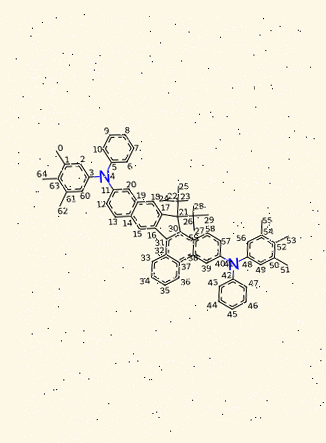 Cc1cc(N(c2ccccc2)c2ccc3cc4c(cc3c2)C(C(C)(C)C)(C(C)(C)C)c2c-4c3ccccc3c3cc(N(c4ccccc4)c4cc(C)c(C)c(C)c4)ccc23)cc(C)c1C